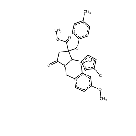 COC(=O)C1(Sc2ccc(C)cc2)CC(=O)N(Cc2ccc(OC)cc2OC)C1c1ccc(Cl)s1